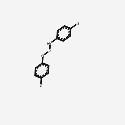 Clc1ccc(NONc2ccc(Cl)cc2)cc1